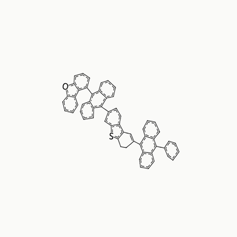 C1=C(c2c3ccccc3c(-c3ccccc3)c3ccccc23)CCc2sc3cc(-c4c5ccccc5c(-c5cccc6oc7ccccc7c56)c5ccccc45)ccc3c21